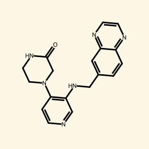 O=C1CN(c2ccncc2NCc2ccc3nccnc3c2)CCN1